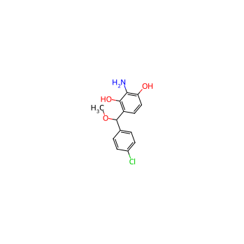 COC(c1ccc(Cl)cc1)c1ccc(O)c(N)c1O